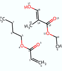 C=CC(=O)OCCCC.CCOC(=O)/C(C)=C/O